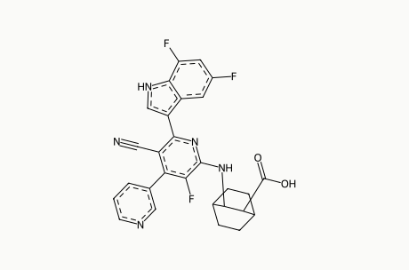 N#Cc1c(-c2c[nH]c3c(F)cc(F)cc23)nc(NC2C3CCC(CC3)C2C(=O)O)c(F)c1-c1cccnc1